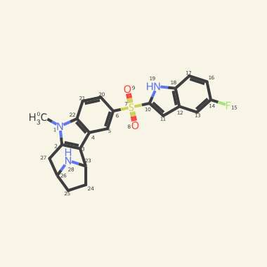 Cn1c2c(c3cc(S(=O)(=O)c4cc5cc(F)ccc5[nH]4)ccc31)C1CCC(C2)N1